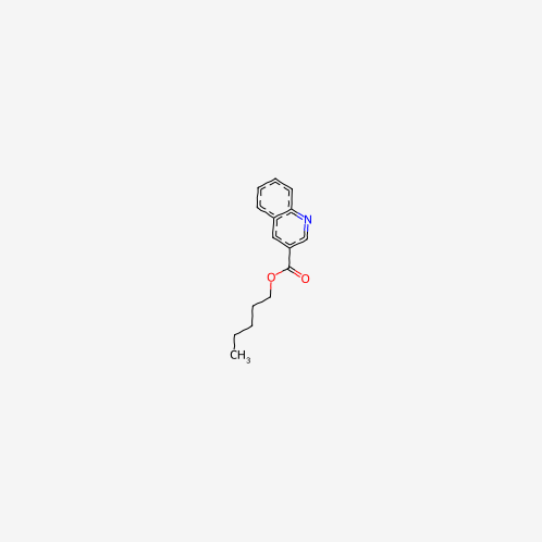 CCCCCOC(=O)c1cnc2ccccc2c1